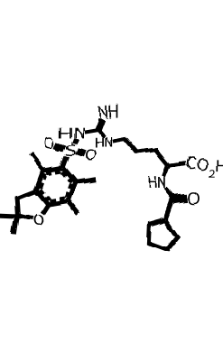 Cc1c(C)c(S(=O)(=O)NC(=N)NCCCC(NC(=O)C2CCCC2)C(=O)O)c(C)c2c1OC(C)(C)C2